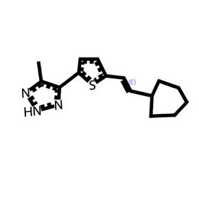 Cc1n[nH]nc1-c1ccc(/C=C/C2CCCCC2)s1